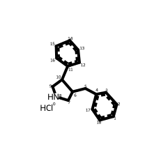 Cl.c1ccc(CC2CNCC2c2ccccc2)cc1